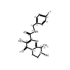 CC(=O)N1CCn2c(nc(C(=O)NCc3ccc(F)cc3)c(O)c2=O)C1C